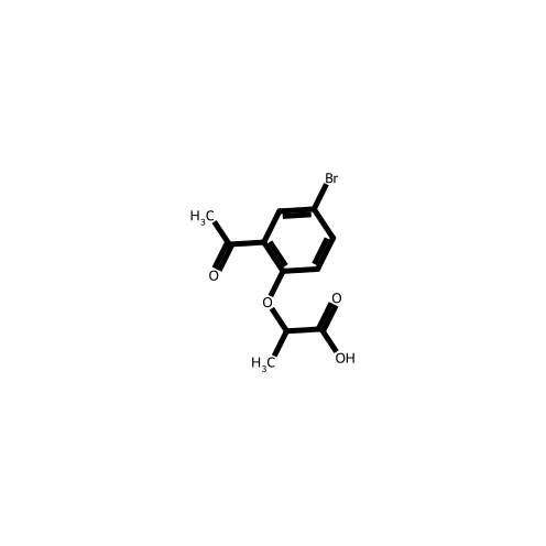 CC(=O)c1cc(Br)ccc1OC(C)C(=O)O